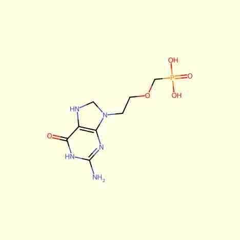 Nc1nc2c(c(=O)[nH]1)NCN2CCOCP(=O)(O)O